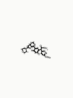 COc1ccc(C(C(N)=O)c2cc(-c3ncnc4cc(N5CCOCC5)sc34)c(F)cc2Cl)nn1